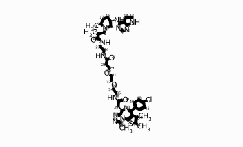 C=C(CN1C[C@@H](Nc2ncnc3[nH]ccc23)CC[C@@H]1C)C(=O)NCCNC(=O)CCOCCOCCNC(=O)C[C@H]1N=C(c2ccc(Cl)cc2)c2c(sc(C)c2C)-n2c(C)nnc21